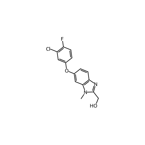 Cn1c(CO)nc2ccc(Oc3ccc(F)c(Cl)c3)cc21